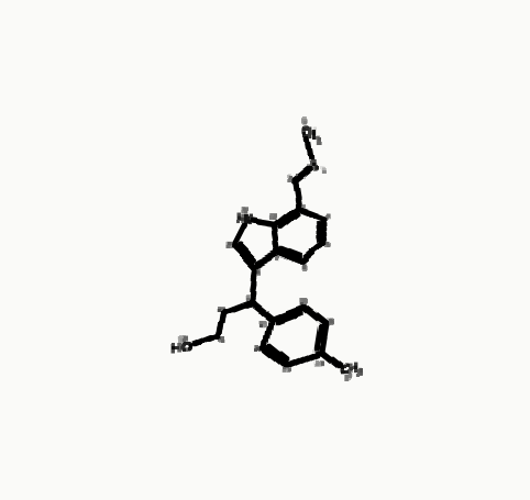 CSCc1cccc2c(C(CCO)c3ccc(C)cc3)c[nH]c12